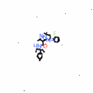 CCC(CC)(NC(=O)c1c(C)nn2c1N[C@@H](c1ccccc1F)CC2(C)C)c1ccc(C)cc1